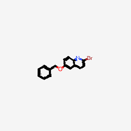 Brc1ccc2cc(OCc3ccccc3)ccc2n1